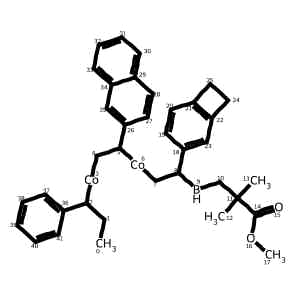 CC[CH]([Co][CH2][CH]([Co][CH2]C(BCC(C)(C)C(=O)OC)c1ccc2c(c1)CC2)c1ccc2ccccc2c1)c1ccccc1